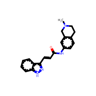 CN1CCc2ccc(NC(=O)/C=C/c3n[nH]c4ccccc34)cc2C1